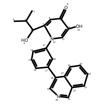 CC(C)C(O)c1cc(=O)c(O)cn1-c1cccc(-c2cncc3ccccc23)c1